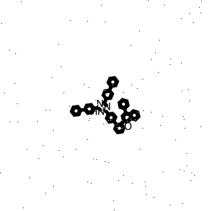 C1=CC(C2=NC(c3ccc(-c4ccccc4)cc3)NC(c3ccc(-c4cccc5oc6c7ccccc7c(-c7ccccc7)cc6c45)cc3)=N2)CC=C1c1ccccc1